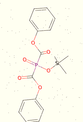 C[Si](C)(C)OP(=O)(C(=O)Oc1ccccc1)C(=O)Oc1ccccc1